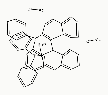 CC(=O)[O-].CC(=O)[O-].[Ru+2][C]1(P(c2ccccc2)c2ccccc2)C=Cc2ccccc2C1c1c(P(c2ccccc2)c2ccccc2)ccc2ccccc12